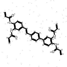 C=CC(=O)Oc1ccc(/C=C/c2ccc(-c3ccc(OC(=O)C=C)c(OC(=O)C=C)c3)cc2)cc1OC(=O)C=C